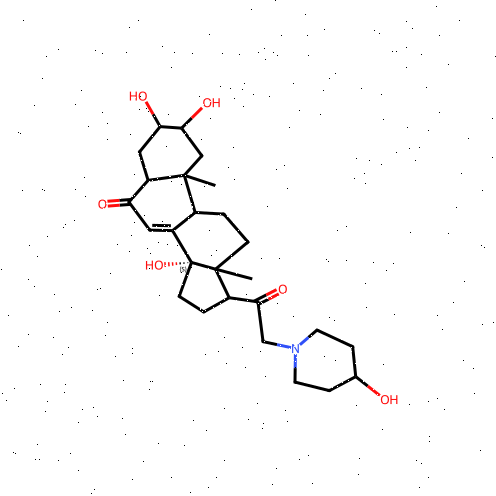 CC12CC(O)C(O)CC1C(=O)C=C1C2CCC2(C)C(C(=O)CN3CCC(O)CC3)CC[C@@]12O